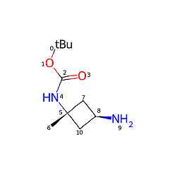 CC(C)(C)OC(=O)N[C@]1(C)C[C@@H](N)C1